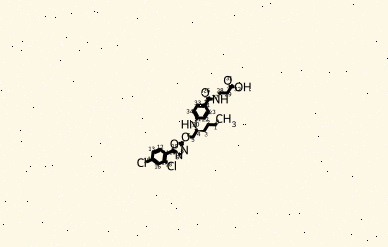 CCCC[C@@H](COc1nnc(-c2ccc(Cl)cc2Cl)o1)Nc1ccc(C(=O)NCCC(=O)O)cc1